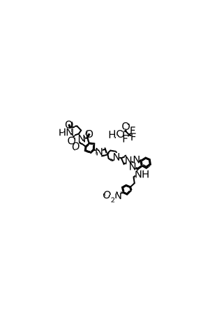 O=C(O)C(F)(F)F.O=C1CCC(N2C(=O)c3ccc(N4CC5(CCN(C6CN(c7nc(NCCc8ccc([N+](=O)[O-])cc8)c8ccccc8n7)C6)CC5)C4)cc3C2=O)C(=O)N1